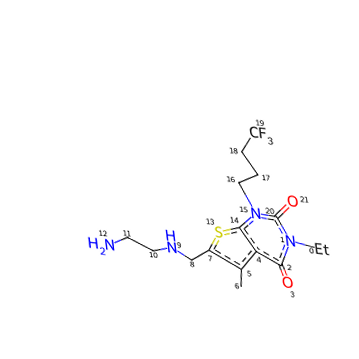 CCn1c(=O)c2c(C)c(CNCCN)sc2n(CCCC(F)(F)F)c1=O